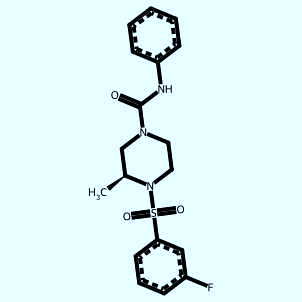 C[C@H]1CN(C(=O)Nc2ccccc2)CCN1S(=O)(=O)c1cccc(F)c1